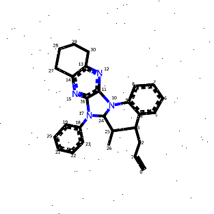 C=CCC1c2ccccc2N2c3nc4c(nc3N(c3ccccc3)C2C1C)CCCC4